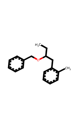 CCC(Cc1ccccc1C)OCc1ccccc1